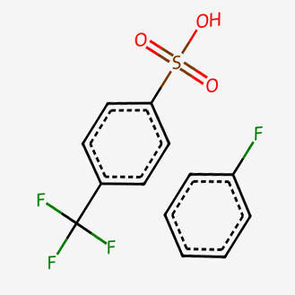 Fc1ccccc1.O=S(=O)(O)c1ccc(C(F)(F)F)cc1